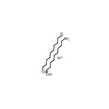 NCCCCCCCCCC(=O)[O-].NCCCCCCCCCC(=O)[O-].[Pd+2]